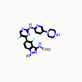 CC(C)n1nc(NC=O)c2c(F)c(-c3nc(Nc4ccc(N5CCNCC5)cn4)ncc3F)ccc21